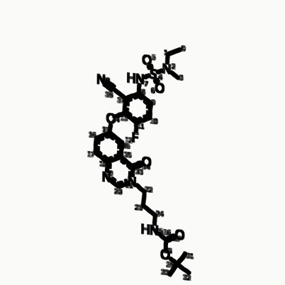 CCN(C)S(=O)(=O)Nc1ccc(F)c(Oc2ccc3ncn(CCCNC(=O)OC(C)(C)C)c(=O)c3c2)c1C#N